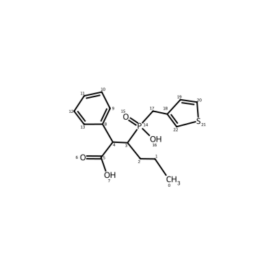 CCCC(C(C(=O)O)c1ccccc1)P(=O)(O)Cc1ccsc1